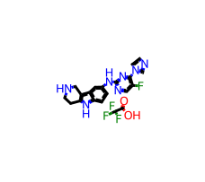 Fc1cnc(Nc2ccc3[nH]c4c(c3c2)CNCC4)nc1-n1ccnc1.O=C(O)C(F)(F)F